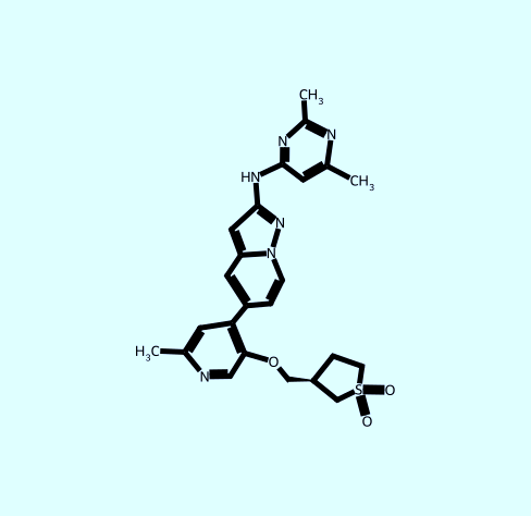 Cc1cc(-c2ccn3nc(Nc4cc(C)nc(C)n4)cc3c2)c(OC[C@H]2CCS(=O)(=O)C2)cn1